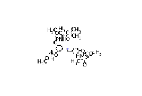 COCP(N[C@@H](C)C(=O)OC(C)C)Oc1cc(/C=C/c2ccc(OP(=O)(COC)NC(C)C=O)cc2)cc(O[PH](=O)COC)c1